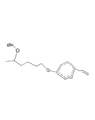 C=Cc1ccc(OCCCCC(C)OC(C)(C)C)cc1